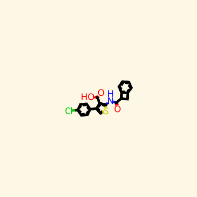 O=C(O)c1c(-c2ccc(Cl)cc2)csc1NC(=O)C1Cc2ccccc21